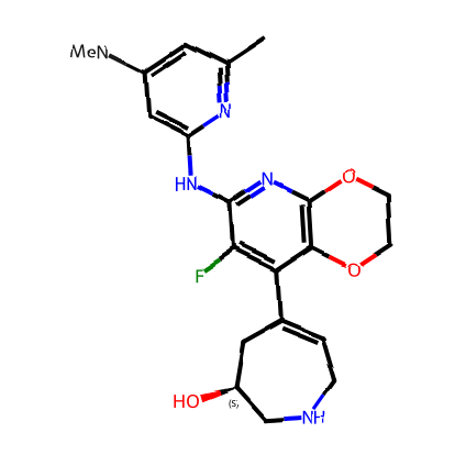 CNc1cc(C)nc(Nc2nc3c(c(C4=CCNC[C@@H](O)C4)c2F)OCCO3)c1